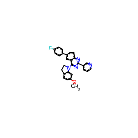 COc1ccc2c(c1)N(c1nc(-c3cccnc3)nc3ccc(-c4ccc(F)cc4)cc13)CC2